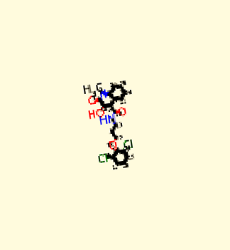 Cn1c(=O)c(O)c(C(=O)NCCCOc2c(Cl)cccc2Cl)c2ccccc21